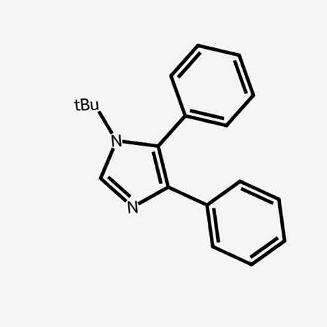 CC(C)(C)n1cnc(-c2ccccc2)c1-c1ccccc1